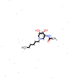 CCCCCCN1C[C@@H](O)[C@H](O)[C@@H](NC(C)=O)C1